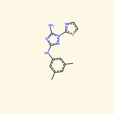 Cc1cc(C)cc(Nc2nc(N)n(-c3nccs3)n2)c1